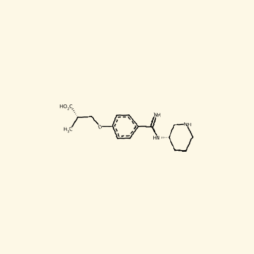 C[C@@H](COc1ccc(C(=N)N[C@H]2CCCNC2)cc1)C(=O)O